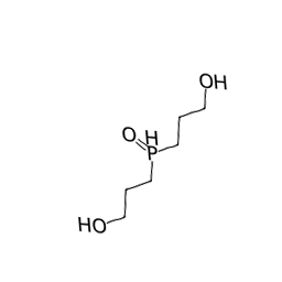 O=[PH](CCCO)CCCO